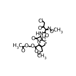 COCC1=C(C(=O)OCOC(C)=O)N2C(=O)C(NC(=O)/C(=N\OC)C(=O)CCl)[C@H]2SC1